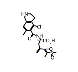 C=C(/C=C(\C)S(C)(=O)=O)C[C@H](NC(=O)c1c(C)cc2c(c1Cl)CCNC2)C(=O)O